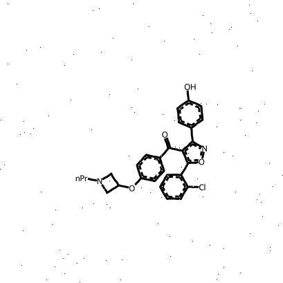 CCCN1CC(Oc2ccc(C(=O)c3c(-c4ccc(O)cc4)noc3-c3ccccc3Cl)cc2)C1